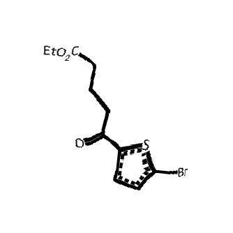 CCOC(=O)CCCC(=O)c1ccc(Br)s1